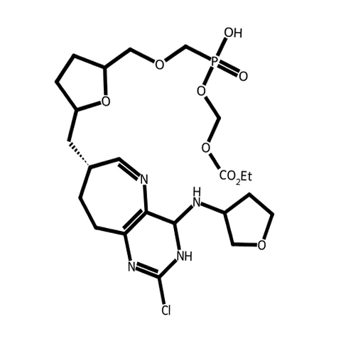 CCOC(=O)OCOP(=O)(O)COCC1CCC(C[C@@H]2C=NC3=C(CC2)N=C(Cl)NC3NC2CCOC2)O1